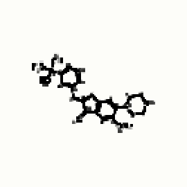 COc1cc2c(cc1N1CCOCC1)CC(Cc1cncc(C(O)(O)C(F)(F)F)c1)C2=O